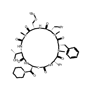 CC(C)C[C@H]1C(=O)N[C@@H](COC(C)(C)C)C(=O)N(C)C(=O)N[C@@H]([C@@H](C)O)C(=O)N[C@H](C(=O)N2CCCCC2)CC(=O)N[C@@H](C(C)C)C(=O)N(C)[C@@H](Cc2ccccc2)C(=O)N1C